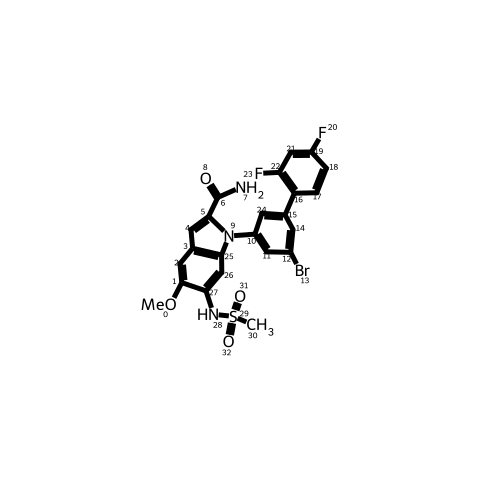 COc1cc2cc(C(N)=O)n(-c3cc(Br)cc(-c4ccc(F)cc4F)c3)c2cc1NS(C)(=O)=O